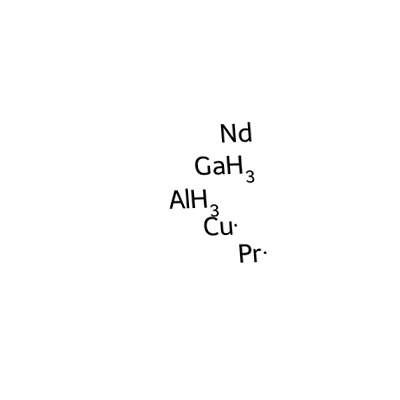 [AlH3].[Cu].[GaH3].[Nd].[Pr]